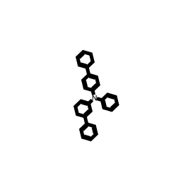 C1=CCCC(c2ccc(N(C3=CCCC(c4ccccc4)=C3)c3ccccc3)cc2)=C1